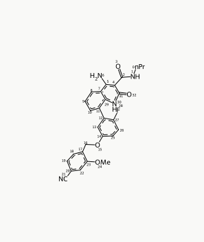 CCCNC(=O)c1c(N)c2cccc(-c3cc(OCc4ccc(C#N)cc4OC)ccc3F)c2[nH]c1=O